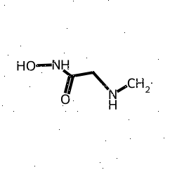 [CH2]NCC(=O)NO